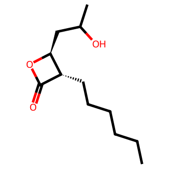 CCCCCC[C@@H]1C(=O)O[C@H]1CC(C)O